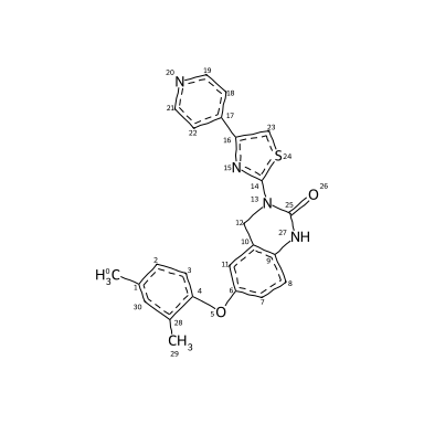 Cc1ccc(Oc2ccc3c(c2)CN(c2nc(-c4ccncc4)cs2)C(=O)N3)c(C)c1